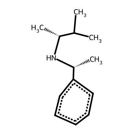 CC(C)[C@@H](C)N[C@H](C)c1ccccc1